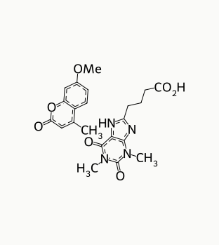 COc1ccc2c(C)cc(=O)oc2c1.Cn1c(=O)c2[nH]c(CCCC(=O)O)nc2n(C)c1=O